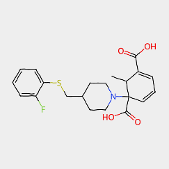 CC1C(C(=O)O)=CC=CC1(C(=O)O)N1CCC(CSc2ccccc2F)CC1